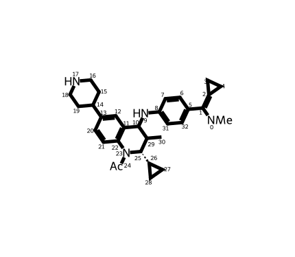 CNC(=C1CC1)c1ccc(NC2c3cc(C4CCNCC4)ccc3N(C(C)=O)[C@@H](C3CC3)C2C)cc1